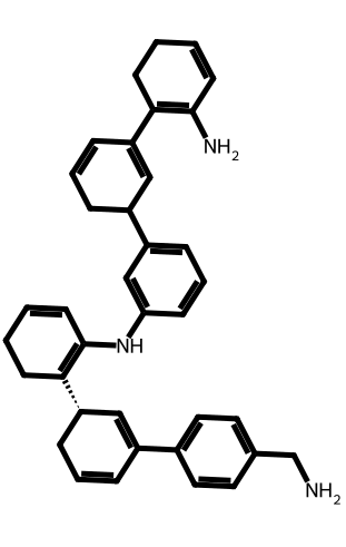 NCc1ccc(C2=C[C@@H](C3=C(Nc4cccc(C5C=C(C6=C(N)C=CCC6)C=CC5)c4)C=CCC3)CC=C2)cc1